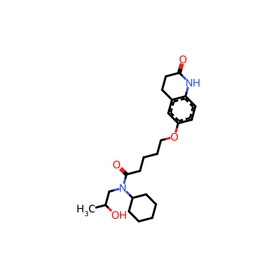 CC(O)CN(C(=O)CCCCOc1ccc2c(c1)CCC(=O)N2)C1CCCCC1